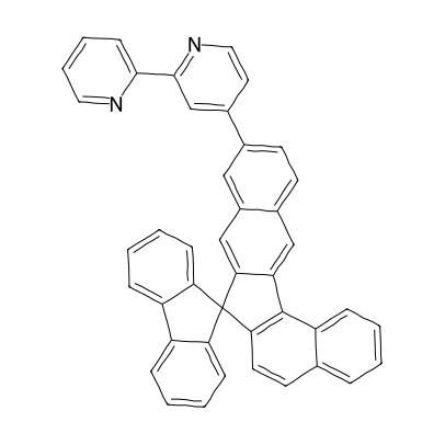 c1ccc(-c2cc(-c3ccc4cc5c(cc4c3)C3(c4ccccc4-c4ccccc43)c3ccc4ccccc4c3-5)ccn2)nc1